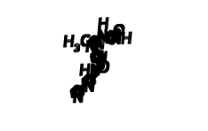 Cc1cc(Nc2cc[nH]c(=O)c2)nc(-c2ccc(C(=O)NCc3ccc(-c4cccnc4)nc3)nc2)n1